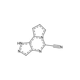 N#Cc1nc2cn[nH]c2c2cccn12